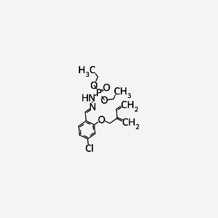 C=CC(=C)COc1cc(Cl)ccc1C=NNP(=O)(OCC)OCC